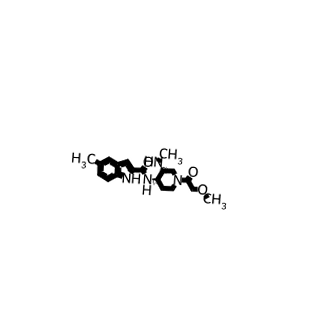 CN[C@@H]1CN(C(=O)COC)CC[C@@H]1NC(=O)c1cc2cc(C)ccc2[nH]1